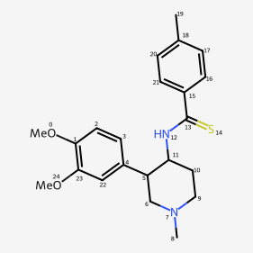 COc1ccc(C2CN(C)CCC2NC(=S)c2ccc(C)cc2)cc1OC